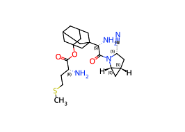 CSCC[C@@H](N)C(=O)OC12CC3CC(C1)CC([C@H](N)C(=O)N1[C@H](C#N)C[C@@H]4C[C@@H]41)(C3)C2